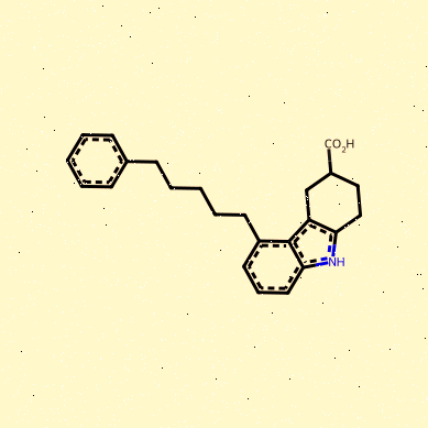 O=C(O)C1CCc2[nH]c3cccc(CCCCCc4ccccc4)c3c2C1